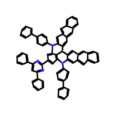 c1ccc(-c2ccc(N3c4cc5cc6ccccc6cc5cc4B4c5cc6cc7ccccc7cc6cc5N(c5ccc(-c6ccccc6)cc5)c5cc(-c6nc(-c7ccccc7)cc(-c7ccccc7)n6)cc3c54)cc2)cc1